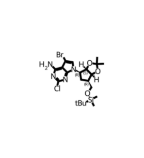 CC1(C)O[C@@H]2[C@@H](CO[Si](C)(C)C(C)(C)C)C[C@@H](n3cc(Br)c4c(N)nc(Cl)nc43)[C@@H]2O1